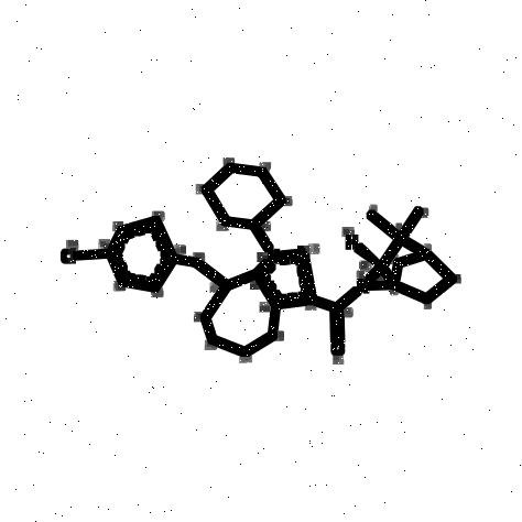 CC1(C)C2CCC3(C2)[C@@H]1N3C(=O)c1nn(C2CCCCC2)c2c1CCCCC2Cc1ccc(Cl)cc1